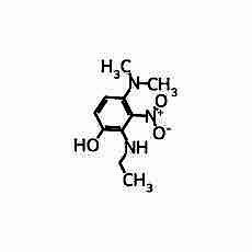 CCNc1c(O)ccc(N(C)C)c1[N+](=O)[O-]